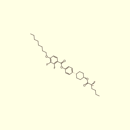 CCCCCCCCOc1ccc(C(=O)Oc2ccc([C@H]3CC[C@H](OC(=O)[C@@H](F)CCCC)CC3)cc2)c(F)c1F